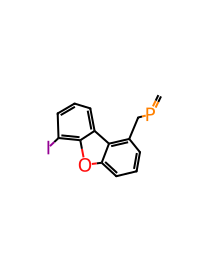 C=PCc1cccc2oc3c(I)cccc3c12